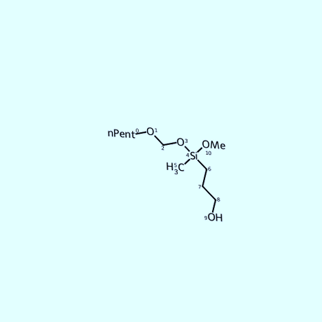 CCCCCOCO[Si](C)(CCCO)OC